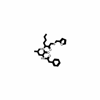 CCCCC(NC(=O)C(CC(C)C)NC(=O)Cc1ccccc1)C(=O)CSCc1ccco1